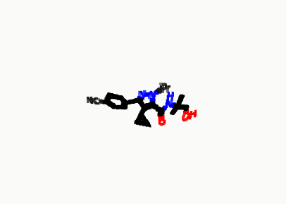 CC(C)n1nc(-c2ccc(C#N)cc2)c(C2CC2)c1C(=O)NC(C)(C)CO